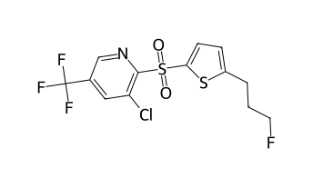 O=S(=O)(c1ccc(CCCF)s1)c1ncc(C(F)(F)F)cc1Cl